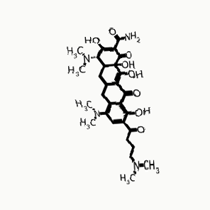 CN(C)CCCC(=O)c1cc(N(C)C)c2c(c1O)C(=O)C1=C(O)C3(O)C(=O)C(C(N)=O)=C(O)[C@@H](N(C)C)C3CC1C2